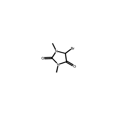 CN1C(=O)C(Br)N(C)C1=O